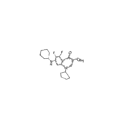 O=c1c(O)cn(C2CCCC2)c2cc(NC3CCCCC3)c(F)c(F)c12